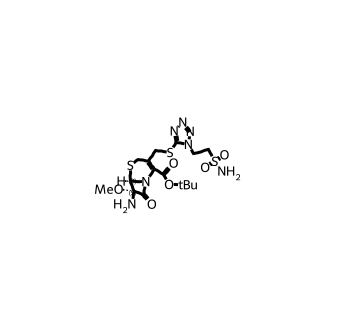 CO[C@@]1(N)C(=O)N2C(C(=O)OC(C)(C)C)=C(CSc3nnnn3CCS(N)(=O)=O)CS[C@@H]21